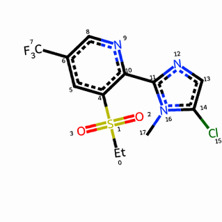 CCS(=O)(=O)c1cc(C(F)(F)F)cnc1-c1ncc(Cl)n1C